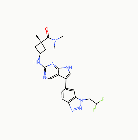 CN(C)C(=O)[C@]1(C)C[C@@H](Nc2ncc3c(-c4ccc5nnn(CC(F)F)c5c4)c[nH]c3n2)C1